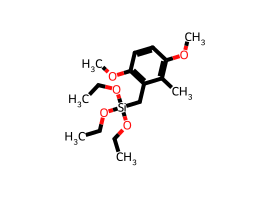 CCO[Si](Cc1c(OC)ccc(OC)c1C)(OCC)OCC